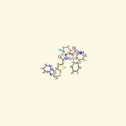 CCc1sc(C(=O)N[C@H]2C(F)(F)CCC[C@@]2(CC2c3ccccc3-c3ccccc32)OC(N)=O)cc1-c1cnc2cccnn12